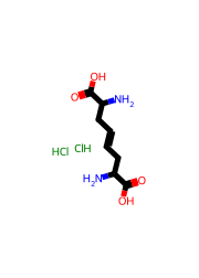 Cl.Cl.NC(CC=CCC(N)C(=O)O)C(=O)O